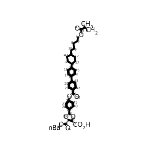 C=C(C)C(=O)OCCCCCC1CCC(c2ccc(-c3ccc(C(=O)Oc4ccc(C5O[C@@H](C(=O)O)[C@H](C(=O)OCCCC)O5)cc4)cc3)cc2)CC1